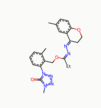 CC/C(=N/N=C1CCOc2ccc(C)cc21)OCc1c(C)cccc1-n1nnn(C)c1=O